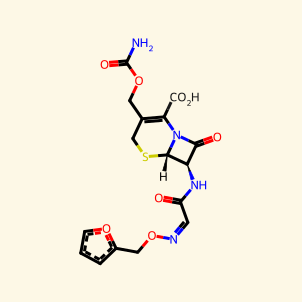 NC(=O)OCC1=C(C(=O)O)N2C(=O)[C@@H](NC(=O)/C=N\OCc3ccco3)[C@@H]2SC1